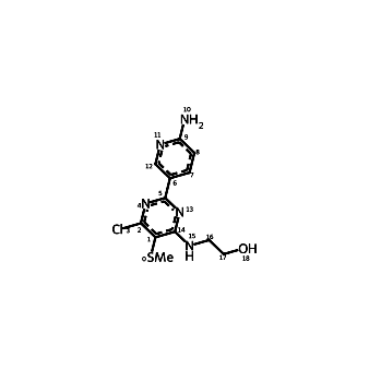 CSc1c(Cl)nc(-c2ccc(N)nc2)nc1NCCO